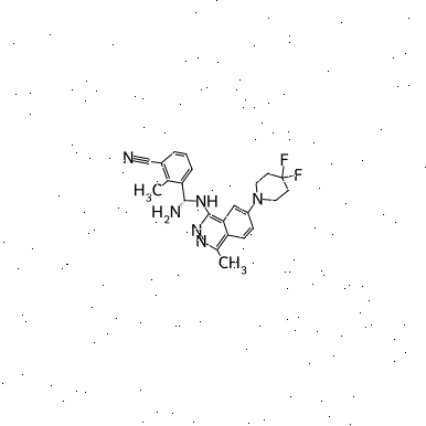 Cc1c(C#N)cccc1[C@@H](N)Nc1nnc(C)c2ccc(N3CCC(F)(F)CC3)cc12